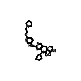 O=C1NCC[C@]12Cc1cnc(Nc3ccc(OCCN4CCCC4)nc3)nc1N(C1CCCC1)C2=O